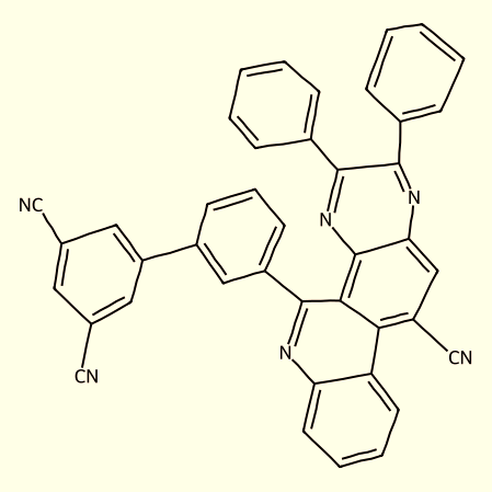 N#Cc1cc(C#N)cc(-c2cccc(-c3nc4ccccc4c4c(C#N)cc5nc(-c6ccccc6)c(-c6ccccc6)nc5c34)c2)c1